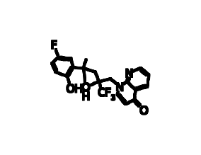 CC(C)(CC(O)(Cn1ccc(=O)c2cccnc21)C(F)(F)F)c1cc(F)ccc1O